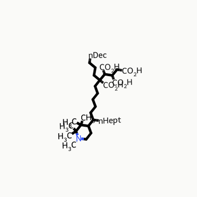 CCCCCCCCCCCCCC(CCCCCC(CCCCCCC)C1CCN(C)C(C)(C)C1(C)C)(C(=O)O)C(C(=O)O)C(CC(=O)O)C(=O)O